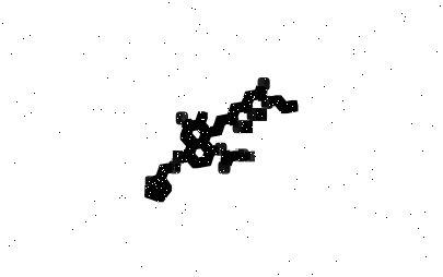 C=CCOC(=O)CC(O)CC(O)CCC1C(C)C(=O)C=C2C(=NOCc3cccs3)CCC(OC(=O)C(C)CC)C21